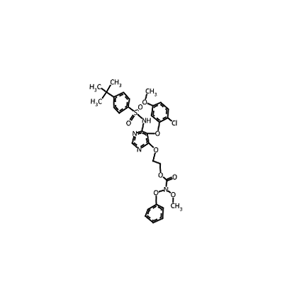 COc1ccc(Cl)c(Oc2c(NS(=O)(=O)c3ccc(C(C)(C)C)cc3)ncnc2OCCOC(=O)N(OC)Oc2ccccc2)c1